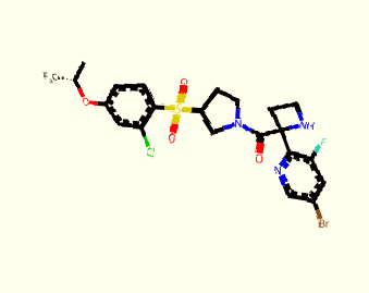 C[C@H](Oc1ccc(S(=O)(=O)C2CCN(C(=O)C3(c4ncc(Br)cc4F)CCN3)C2)c(Cl)c1)C(F)(F)F